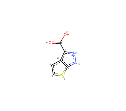 O=C(O)c1[nH]nc2sccc12